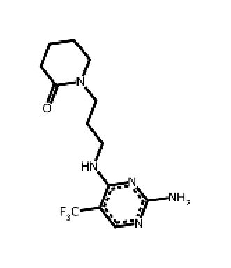 Nc1ncc(C(F)(F)F)c(NCCCN2CCCCC2=O)n1